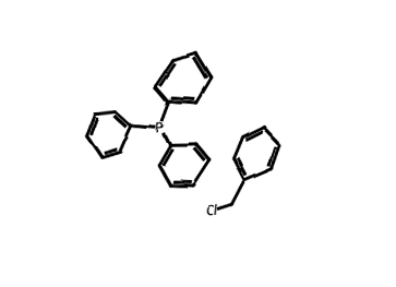 ClCc1ccccc1.c1ccc(P(c2ccccc2)c2ccccc2)cc1